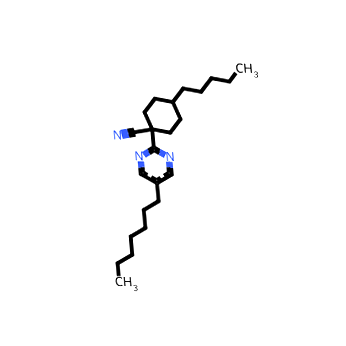 CCCCCCCc1cnc(C2(C#N)CCC(CCCCC)CC2)nc1